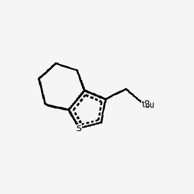 CC(C)(C)Cc1csc2c1CCCC2